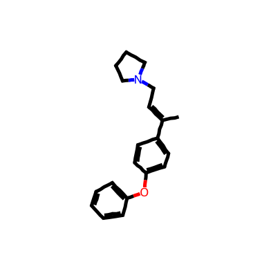 CC(=CCN1CCCC1)c1ccc(Oc2ccccc2)cc1